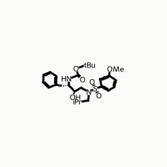 COc1cccc(S(=O)(=O)N(CC(C)C)C[C@@H](O)[C@H](Cc2ccccc2)NC(=O)OC(C)(C)C)c1